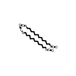 O=C=NCCCCCCCCCCCCN=C=O.O=C=NCCCCCCCCCCCN=C=O